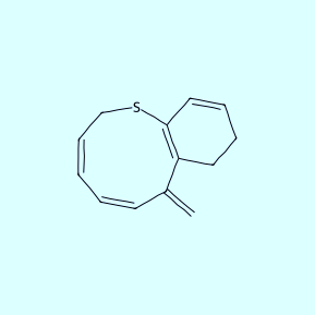 C=C1/C=C\C=C/CSC2=C1CCC=C2